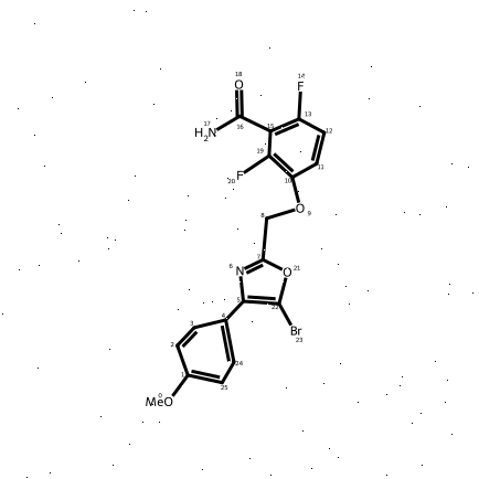 COc1ccc(-c2nc(COc3ccc(F)c(C(N)=O)c3F)oc2Br)cc1